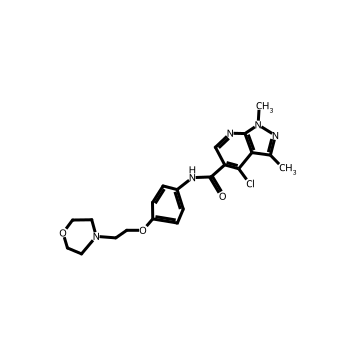 Cc1nn(C)c2ncc(C(=O)Nc3ccc(OCCN4CCOCC4)cc3)c(Cl)c12